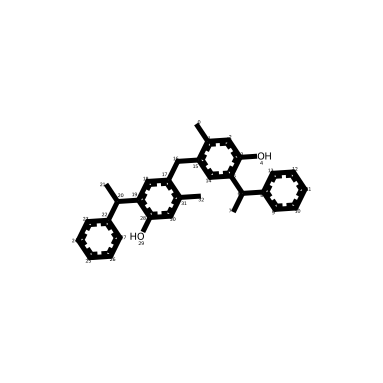 Cc1cc(O)c(C(C)c2ccccc2)cc1Cc1cc(C(C)c2ccccc2)c(O)cc1C